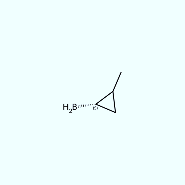 B[C@H]1CC1C